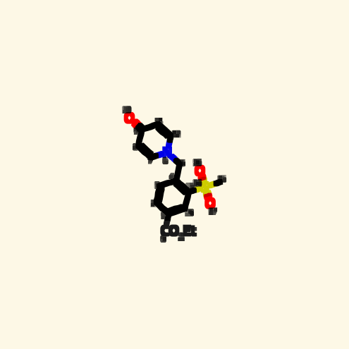 CCOC(=O)c1ccc(Cn2ccc(=O)cc2)c(S(C)(=O)=O)c1